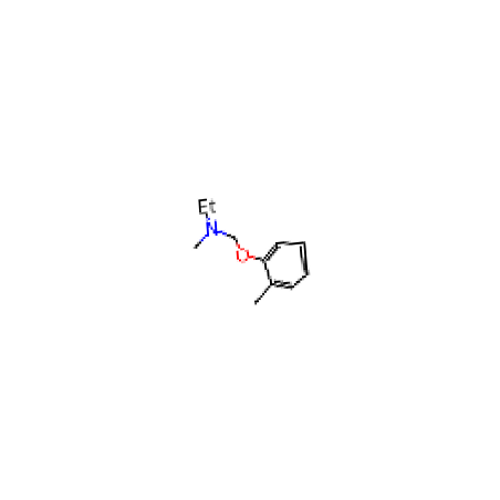 CCN(C)COc1ccccc1C